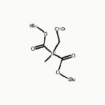 CC(C)(C)OC(=O)[N+](C)(C[C]=O)C(=O)OC(C)(C)C